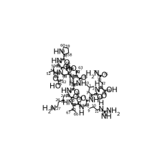 CC(C)C[C@H](NC(=O)[C@H](CCCNC(=N)N)NC(=O)[C@@H](NC(=O)[C@H](CCCCN)NC(=O)[C@H](C)NC(=O)[C@@H](NC(=O)[C@H](CC(=O)O)NC(=O)[C@H](CC(C)C)NC(=O)[C@@H]1CCCN1)[C@@H](C)O)C(C)C)C(=O)N[C@@H](CCC(N)=O)C(=O)O